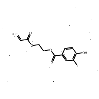 C=CC(=O)OCCOC(=O)c1ccc(O)c(F)c1